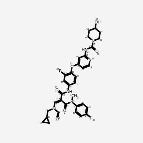 CN(C(=O)/C(=C\N(C=O)CC1CC1)C(=O)Nc1ccc(Oc2ccnc(NC(=O)N3CCC(O)CC3)c2)c(F)c1)c1ccc(F)cc1